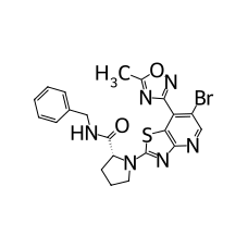 Cc1nc(-c2c(Br)cnc3nc(N4CCC[C@@H]4C(=O)NCc4ccccc4)sc23)no1